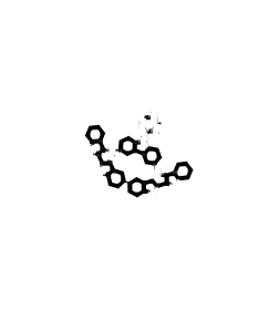 c1ccc2c(c1)sc1c3sc4ccccc4c3n(-c3ccc4c(c3)c3cc(-n5c6c7ccccc7sc6c6sc7ccccc7c65)ccc3n4-c3ncncn3)c21